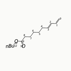 C=CC=CCCCCCC(=O)OCCCC